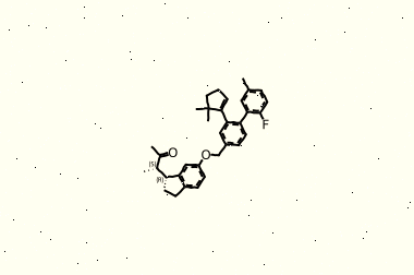 CC(=O)[C@@H](C)[C@H]1CCc2ccc(OCc3ccc(-c4cc(C)ccc4F)c(C4=CCCC4(C)C)c3)cc21